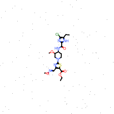 CCOC(=O)c1sc(N2CCC(NC(=O)c3nc(Cl)c(CC)[nH]3)C(OC)C2)nc1C=NOC